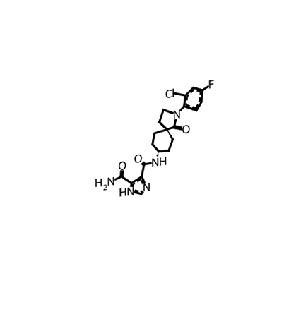 NC(=O)c1[nH]cnc1C(=O)N[C@H]1CC[C@]2(CCN(c3ccc(F)cc3Cl)C2=O)CC1